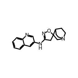 c1ccc2ncc(NC3=NOC4(C3)CN3CCC4CC3)cc2c1